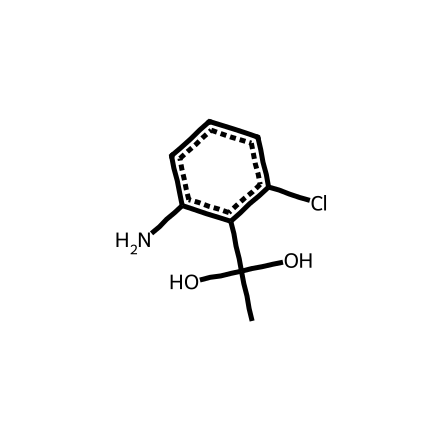 CC(O)(O)c1c(N)cccc1Cl